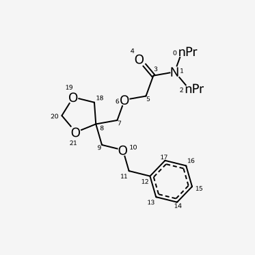 CCCN(CCC)C(=O)COCC1(COCc2ccccc2)COCO1